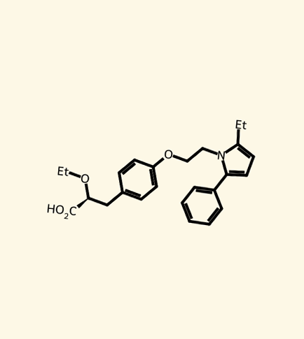 CCO[C@@H](Cc1ccc(OCCn2c(CC)ccc2-c2ccccc2)cc1)C(=O)O